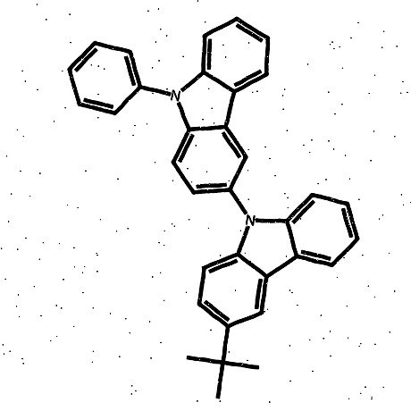 CC(C)(C)c1ccc2c(c1)c1ccccc1n2-c1ccc2c(c1)c1ccccc1n2-c1ccccc1